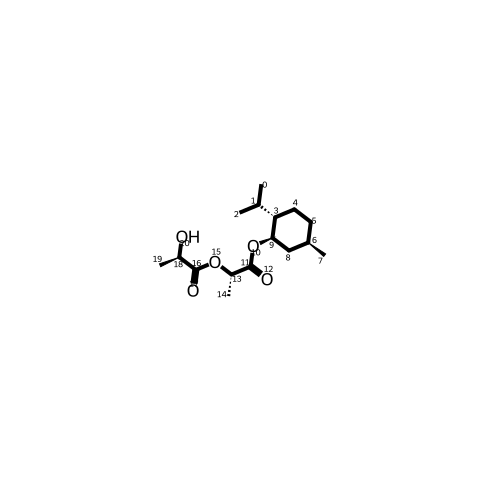 CC(C)[C@@H]1CC[C@@H](C)C[C@H]1OC(=O)[C@H](C)OC(=O)[C@@H](C)O